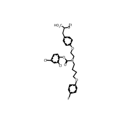 CCOC(Cc1ccc(OCCN(CCCCOc2ccc(F)cc2)C(=O)Oc2ccc(Cl)cc2Cl)cc1)C(=O)O